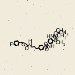 COc1cc(NS(=O)(=O)c2ccc(CCCNC(=O)COCc3ccc(F)cc3)cc2)ccc1NC(=O)OC(C)(C)C